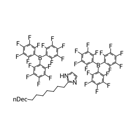 CCCCCCCCCCCCCCCCCc1ncc[nH]1.Fc1c(F)c(F)c(B(c2c(F)c(F)c(F)c(F)c2F)c2c(F)c(F)c(F)c(F)c2F)c(F)c1F.Fc1c(F)c(F)c(B(c2c(F)c(F)c(F)c(F)c2F)c2c(F)c(F)c(F)c(F)c2F)c(F)c1F